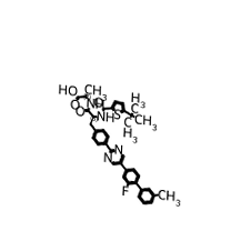 Cc1cccc(-c2ccc(-c3cnc(-c4ccc(C[C@H](NC(=O)c5ccc(C(C)(C)C)s5)C(=O)N[C@H](C)C(=O)O)cc4)nc3)cc2F)c1